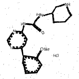 COc1ccccc1-c1cc(NC(=O)NC2CCCNC2)ncn1.Cl